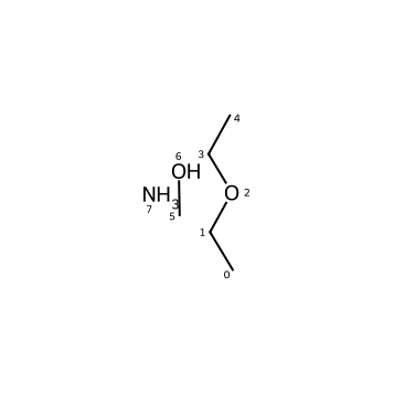 CCOCC.CO.N